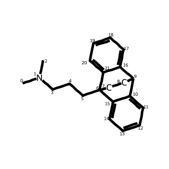 CN(C)CCCC12CCC(c3ccccc31)c1ccccc12